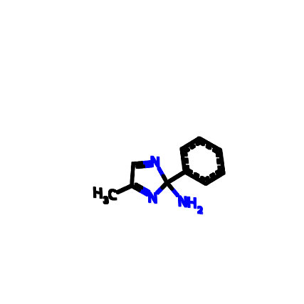 CC1=NC(N)(c2ccccc2)N=C1